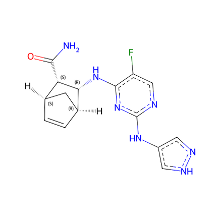 NC(=O)[C@@H]1[C@H](Nc2nc(Nc3cn[nH]c3)ncc2F)[C@H]2C=C[C@@H]1C2